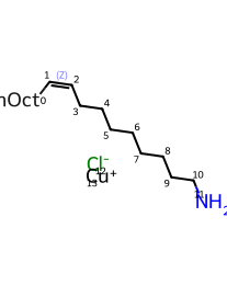 CCCCCCCC/C=C\CCCCCCCCN.[Cl-].[Cu+]